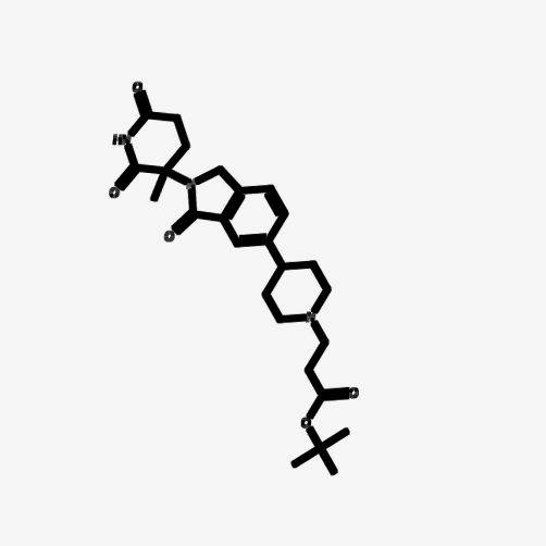 CC(C)(C)OC(=O)CCN1CCC(c2ccc3c(c2)C(=O)N(C2(C)CCC(=O)NC2=O)C3)CC1